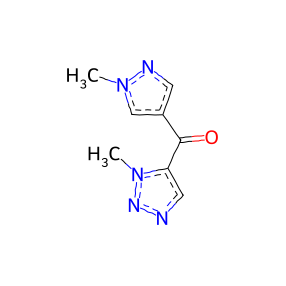 Cn1cc(C(=O)c2cnnn2C)cn1